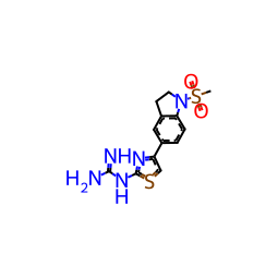 CS(=O)(=O)N1CCc2cc(-c3csc(NC(=N)N)n3)ccc21